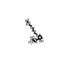 C[C@]1(C(=O)O)CSC(c2c(O)cccc2OCCOCCOCCOC(F)(F)F)=N1